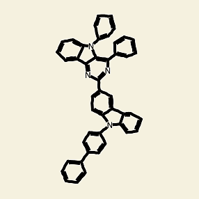 c1ccc(-c2ccc(-n3c4ccccc4c4cc(-c5nc(-c6ccccc6)c6c(n5)c5ccccc5n6-c5ccccc5)ccc43)cc2)cc1